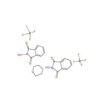 C1C[CH2][U][CH2]C1.F[B-](F)(F)F.F[B-](F)(F)F.O=C1c2ccccc2C(=O)N1O.O=C1c2ccccc2C(=O)N1O